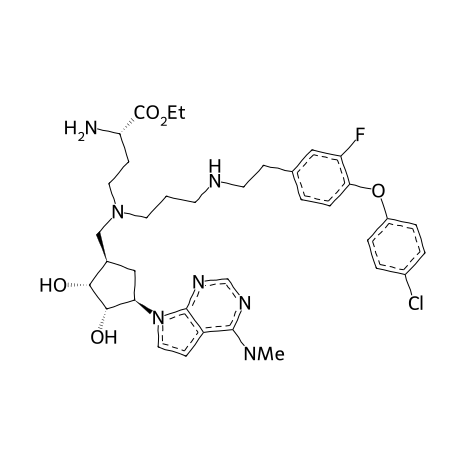 CCOC(=O)[C@@H](N)CCN(CCCNCCc1ccc(Oc2ccc(Cl)cc2)c(F)c1)C[C@H]1C[C@@H](n2ccc3c(NC)ncnc32)[C@H](O)[C@@H]1O